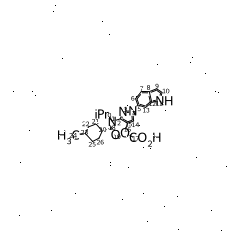 CC(C)N(c1nn(-c2ccc3cc[nH]c3c2)cc1OC(=O)O)C(=O)[C@H]1CC[C@H](C)CC1